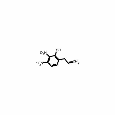 C=CCc1ccc([N+](=O)[O-])c([N+](=O)[O-])c1O